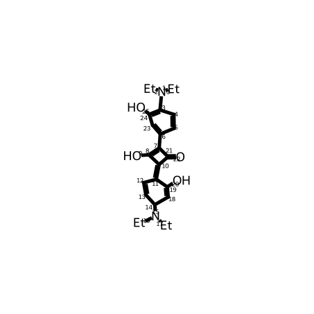 CCN(CC)c1ccc(C2=C(O)/C(=C3\C=CC(N(CC)CC)C=C3O)C2=O)cc1O